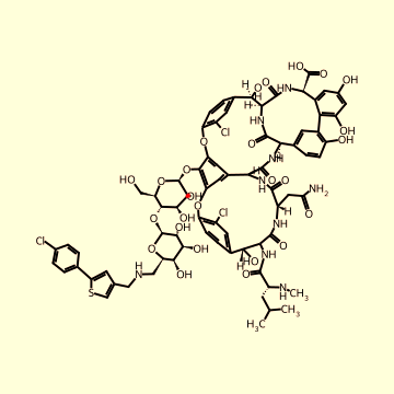 CN[C@H](CC(C)C)C(=O)NC1C(=O)N[C@@H](CC(N)=O)C(=O)N[C@H]2C(=O)N[C@H]3C(=O)N[C@H](C(=O)N[C@@H](C(=O)O)c4cc(O)cc(O)c4-c4cc3ccc4O)[C@H](O)c3ccc(c(Cl)c3)Oc3cc2cc(c3O[C@@H]2O[C@H](CO)[C@@H](O[C@@H]3O[C@H](CNCc4csc(-c5ccc(Cl)cc5)c4)[C@H](O)[C@H](O)[C@H]3O)[C@H](O)[C@H]2O)Oc2ccc(cc2Cl)[C@H]1O